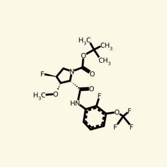 CO[C@H]1[C@@H](C(=O)Nc2cccc(OC(F)(F)F)c2F)N(C(=O)OC(C)(C)C)C[C@@H]1F